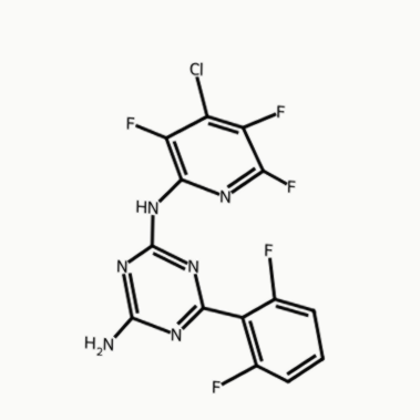 Nc1nc(Nc2nc(F)c(F)c(Cl)c2F)nc(-c2c(F)cccc2F)n1